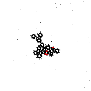 c1ccc(-n2c3ccccc3c3cc(-c4ccc(N(c5cccc6c5-c5ccccc5C65c6ccccc6-n6c7ccccc7c7cccc5c76)c5cc6c(c7ccccc57)-c5ccccc5C65c6ccccc6-c6ccccc65)cc4)ccc32)cc1